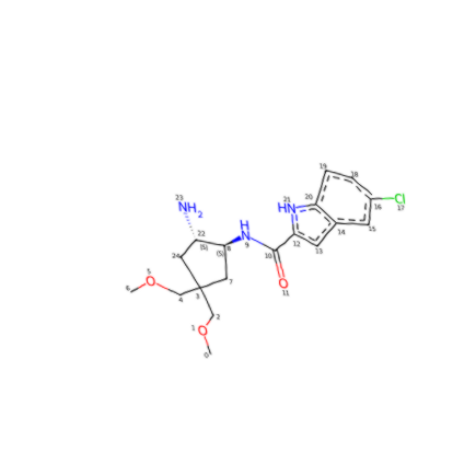 COCC1(COC)C[C@H](NC(=O)c2cc3cc(Cl)ccc3[nH]2)[C@@H](N)C1